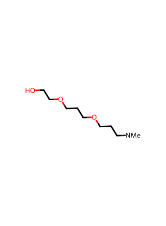 CNCCCOCCCOCCO